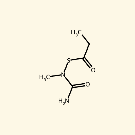 CCC(=O)SN(C)C(N)=O